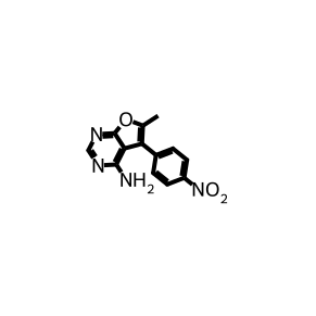 Cc1oc2ncnc(N)c2c1-c1ccc([N+](=O)[O-])cc1